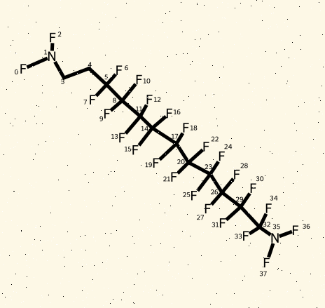 FN(F)CCC(F)(F)C(F)(F)C(F)(F)C(F)(F)C(F)(F)C(F)(F)C(F)(F)C(F)(F)C(F)(F)C(F)(F)N(F)F